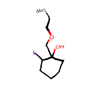 CSCCOCC1(O)CCCCC1I